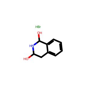 Br.OC1Cc2ccccc2C(O)N1